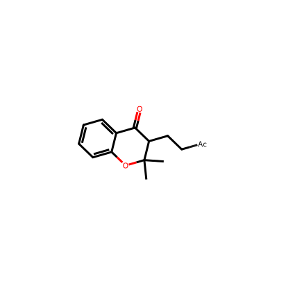 CC(=O)CCC1C(=O)c2ccccc2OC1(C)C